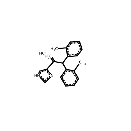 C=C(c1c[nH]cn1)C(c1ccccc1C)c1ccccc1C.Cl